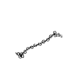 Cc1ccc(S(=O)(=O)OCCOCCOCCOCCOCCOCCOCCOCCOCCC(=O)OC(C)(C)C)cc1